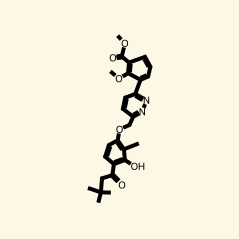 COC(=O)c1cccc(-c2ccc(COc3ccc(C(=O)CC(C)(C)C)c(O)c3C)nn2)c1OC